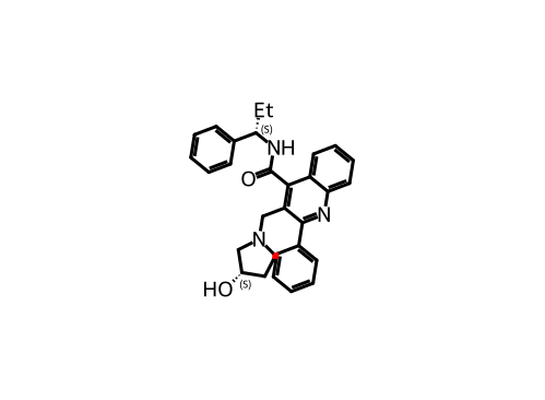 CC[C@H](NC(=O)c1c(CN2CC[C@H](O)C2)c(-c2ccccc2)nc2ccccc12)c1ccccc1